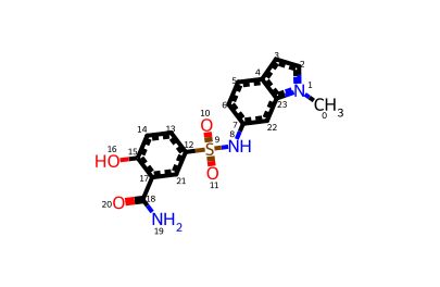 Cn1ccc2ccc(NS(=O)(=O)c3ccc(O)c(C(N)=O)c3)cc21